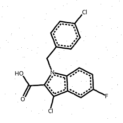 O=C(O)c1c(Cl)c2cc(F)ccc2n1Cc1ccc(Cl)cc1